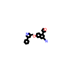 N#Cc1cc(-c2ccoc2)c2ccc(OCc3cncc(-c4ccccc4)c3)cc2c1